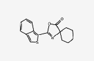 O=C1OC(c2scc3ccccc23)=NC12CCCCC2